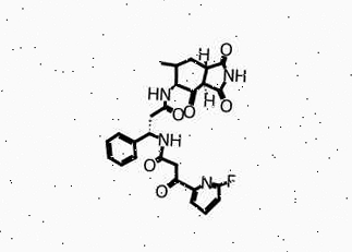 CC1C[C@@H]2C(=O)NC(=O)[C@H]2C(=O)[C@H]1NC(=O)C[C@H](NC(=O)CC(=O)c1cccc(F)n1)c1ccccc1